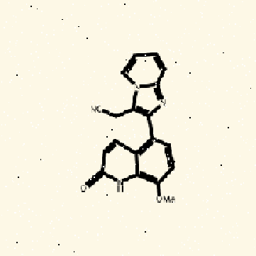 COc1ccc(-c2nc3ccccn3c2CC#N)c2ccc(=O)[nH]c12